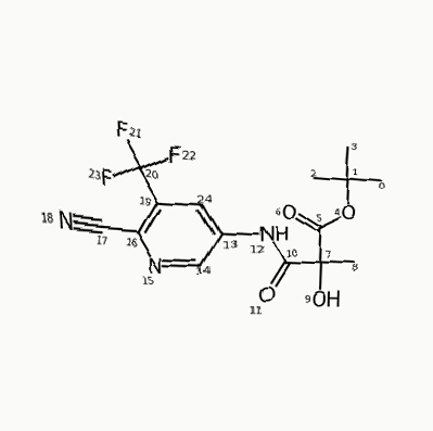 CC(C)(C)OC(=O)C(C)(O)C(=O)Nc1cnc(C#N)c(C(F)(F)F)c1